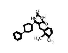 Cc1cccc(Cc2c(=O)[nH]c(=O)[nH]c2[C@H]2CC[C@H](c3ccccc3)CC2)c1C